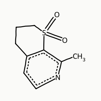 Cc1nccc2c1S(=O)(=O)CCC2